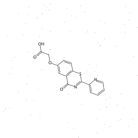 O=C(O)COc1ccc2sc(-c3ccccn3)nc(=O)c2c1